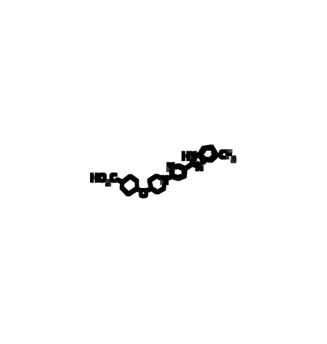 O=C(O)C1CCC(OC2CCN(c3ccc(-c4nc5cc(C(F)(F)F)ccc5[nH]4)cn3)CC2)CC1